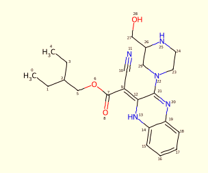 CCC(CC)COC(=O)C(C#N)=C1Nc2ccccc2N=C1N1CCNC(CO)C1